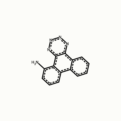 Nc1cccc2c3ccccc3c3nnnnc3c12